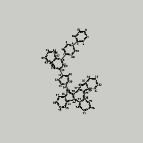 c1ccc(-c2ccc(-c3nc(-c4ccc(-n5c6ccccc6c6c7ccccc7c7c8ccccc8sc7c65)cc4)nc4cccnc34)cc2)cc1